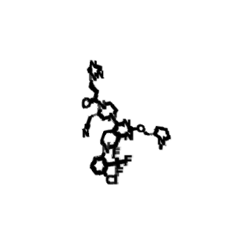 CN1CCC[C@H]1COc1nc2c(c(N3CCN(C(=O)/C=C/n4cncn4)[C@@H](CC#N)C3)n1)CCN(c1cccc(Cl)c1C(F)(F)F)C2